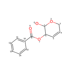 [O]C1OCC=CC1OC(=O)c1ccccc1